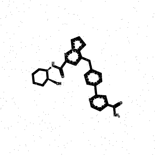 NC(=O)c1ccnc(-c2ccc(Cc3cc(C(=O)N[C@H]4CCCC[C@@H]4O)nn4cccc34)cc2)c1